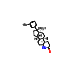 CC(C)(C)c1cccc(C2(C(=O)O)CC[C@H]3[C@@H]4CC=C5NC(=O)CC[C@]5(C)[C@@H]4CC[C@@]32C)c1